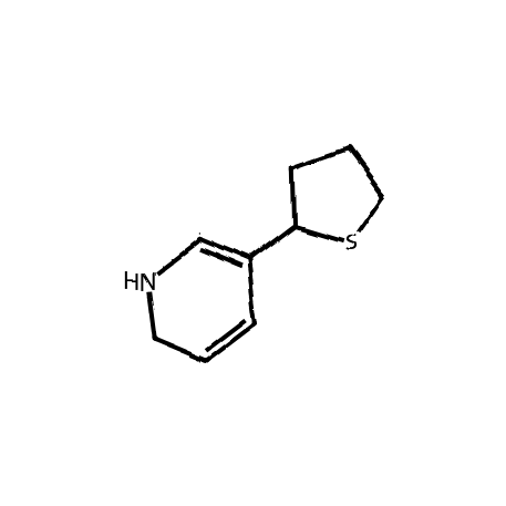 [C]1=C(C2CCCS2)C=CCN1